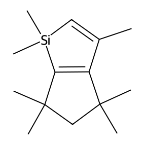 CC1=C[Si](C)(C)C2=C1C(C)(C)CC2(C)C